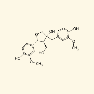 COc1cc(C[C@]2(O)CO[C@@H](c3ccc(O)c(OC)c3)[C@@H]2CO)ccc1O